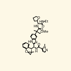 CCNC(=O)[C@H](NC(=O)C(C)(COC)c1ccc2[nH]c([C@@H](NC(=O)c3ccnn3C)[C@H](c3ccccc3Cl)C3(C)CC3)nc2c1)C1CCCO1